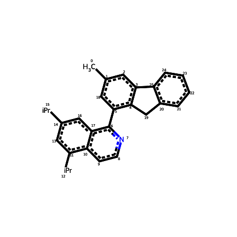 Cc1cc2c(c(-c3nccc4c(C(C)C)cc(C(C)C)cc34)c1)Cc1ccccc1-2